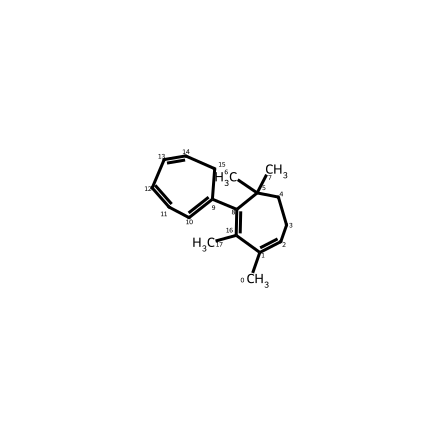 CC1=CCCC(C)(C)C(C2=CC=CC=CC2)=C1C